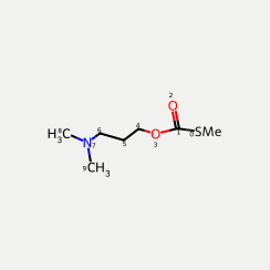 CSC(=O)OCCCN(C)C